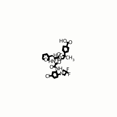 CC(C)(CNC(=O)[C@H](Cc1ccccc1)NC(=O)C(=O)Nc1cc(Cl)ccc1N1CC(F)(F)C1)c1ccc(C(=O)O)cc1